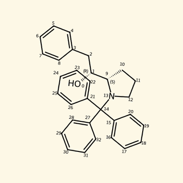 O[C@H](Cc1ccccc1)[C@@H]1CCCN1C(c1ccccc1)(c1ccccc1)c1ccccc1